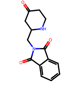 O=C1CCNC(CN2C(=O)c3ccccc3C2=O)C1